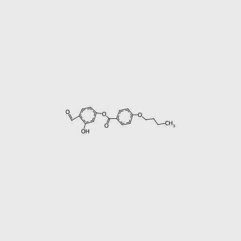 CCCCOc1ccc(C(=O)Oc2ccc(C=O)c(O)c2)cc1